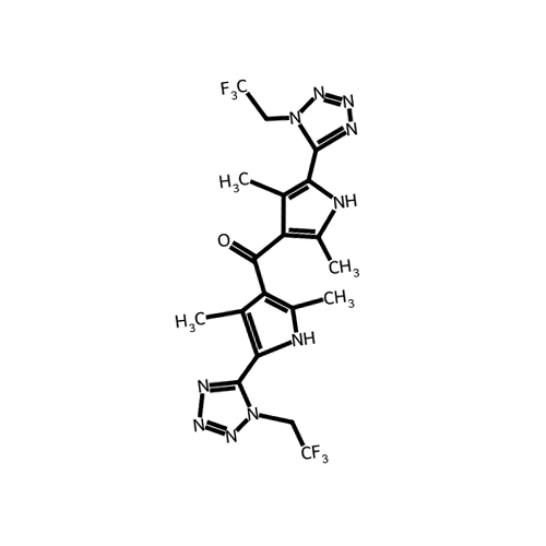 Cc1[nH]c(-c2nnnn2CC(F)(F)F)c(C)c1C(=O)c1c(C)[nH]c(-c2nnnn2CC(F)(F)F)c1C